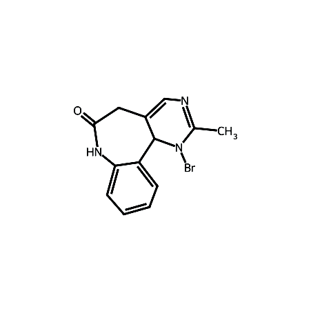 CC1=NC=C2CC(=O)Nc3ccccc3C2N1Br